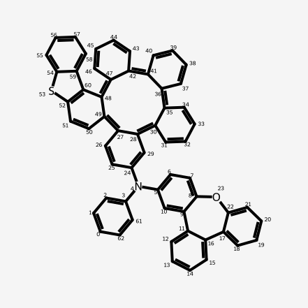 c1ccc(N(c2ccc3c(c2)-c2ccccc2-c2ccccc2O3)c2ccc3c(c2)c2ccccc2c2ccccc2c2ccccc2c2c3ccc3sc4ccccc4c32)cc1